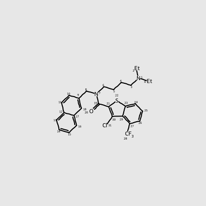 CCN(CC)CCCCN(Cc1ccc2ccccc2c1)C(=O)c1sc2cccc(C(F)(F)F)c2c1Cl